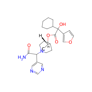 NC(=O)C(c1cncnc1)[N+]12CCC(CC1)[C@@H](OC(=O)C(O)(c1ccoc1)C1CCCCC1)C2